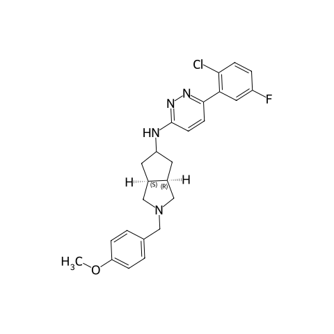 COc1ccc(CN2C[C@H]3CC(Nc4ccc(-c5cc(F)ccc5Cl)nn4)C[C@H]3C2)cc1